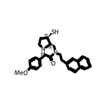 COc1ccc(CC(=O)N(CCc2ccc3ccccc3c2)C[C@H]2NCC[C@H]2S)cc1